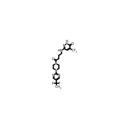 CC(F)(F)c1cnc(N2CCN(C(=O)CCCNc3cc(C(F)(F)F)c(=O)[nH]n3)CC2)nc1